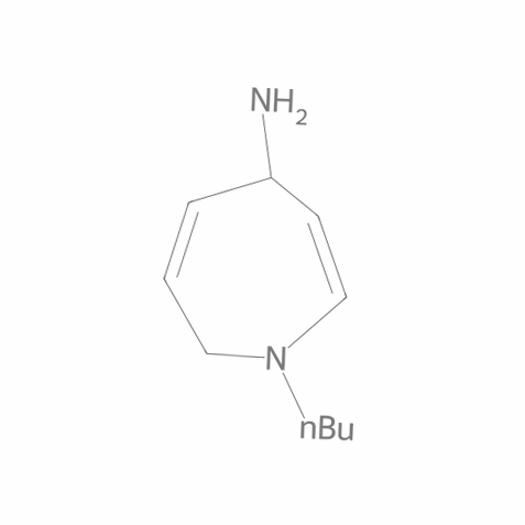 CCCCN1C=CC(N)C=CC1